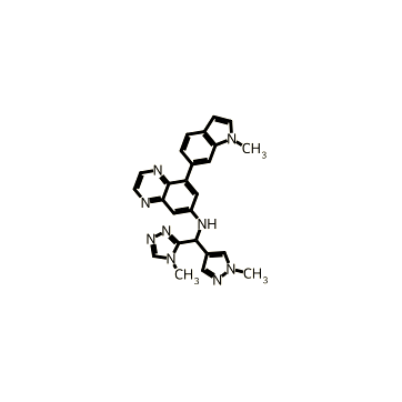 Cn1cc(C(Nc2cc(-c3ccc4ccn(C)c4c3)c3nccnc3c2)c2nncn2C)cn1